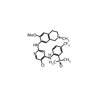 COc1cc2c(cc1Nc1ncc(Cl)c(Nc3ccc(C(F)(F)F)cc3P(C)(C)=O)n1)CN(C)CC2